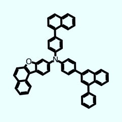 c1ccc(-c2cc(-c3ccc(N(c4ccc(-c5cccc6ccccc56)cc4)c4ccc5c(c4)oc4ccc6ccccc6c45)cc3)cc3ccccc23)cc1